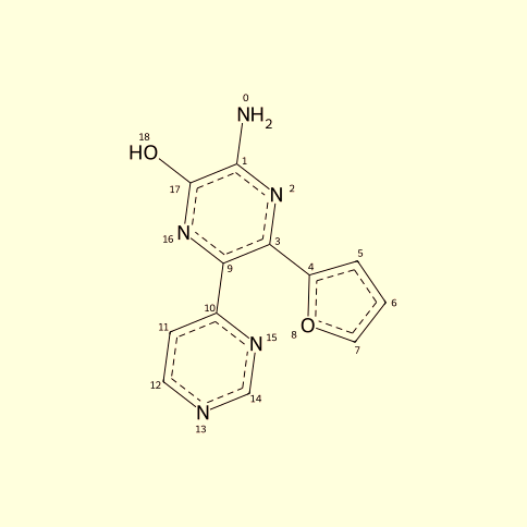 Nc1nc(-c2ccco2)c(-c2ccncn2)nc1O